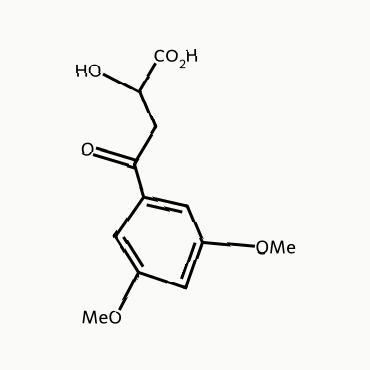 COc1cc(OC)cc(C(=O)CC(O)C(=O)O)c1